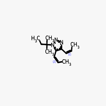 C/C=C\c1nnn(C(C)(C)CC)c1/C=C\C